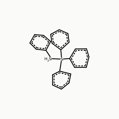 c1ccc([SiH2][Si](c2ccccc2)(c2ccccc2)c2ccccc2)cc1